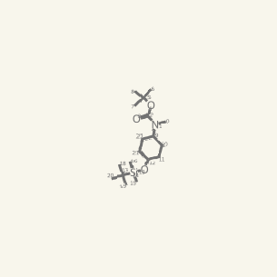 CN(C(=O)OC(C)(C)C)C1CCC(O[Si](C)(C)C(C)(C)C)CC1